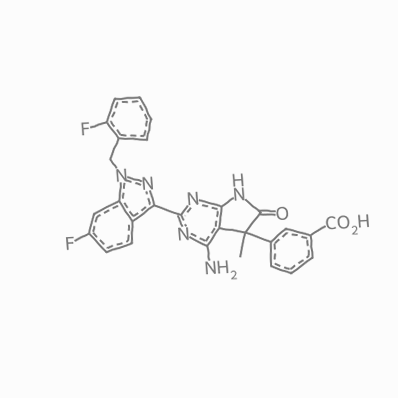 CC1(c2cccc(C(=O)O)c2)C(=O)Nc2nc(-c3nn(Cc4ccccc4F)c4cc(F)ccc34)nc(N)c21